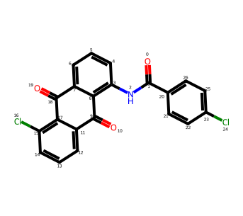 O=C(Nc1cccc2c1C(=O)c1cccc(Cl)c1C2=O)c1ccc(Cl)cc1